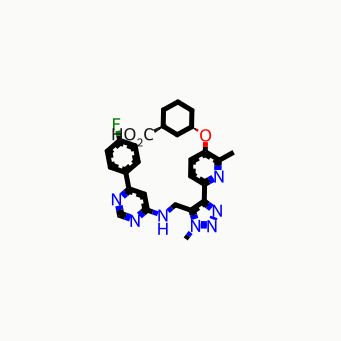 Cc1nc(-c2nnn(C)c2CNc2cc(-c3ccc(F)cc3)ncn2)ccc1O[C@H]1CCC[C@H](C(=O)O)C1